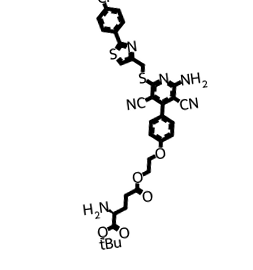 CC(C)(C)OC(=O)[C@@H](N)CCC(=O)OCCOc1ccc(-c2c(C#N)c(N)nc(SCc3csc(-c4ccc(Cl)cc4)n3)c2C#N)cc1